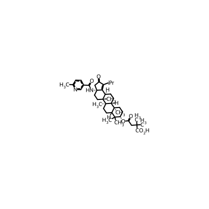 Cc1ccc(C(=O)N[C@@]23CC[C@]4(C)[C@H](CC[C@@H]5[C@@]6(C)CC[C@H](OC(=O)CC(C)(C)C(=O)O)C(C)(C)[C@@H]6CC[C@]54C)C2=C(C(C)C)C(=O)C3)cn1